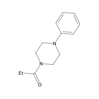 [CH2]CC(=O)N1CCN(c2ccccc2)CC1